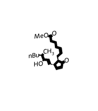 CCCC[C@@H](C)[C@H](O)C=C[C@H]1C=CC(=O)[C@@H]1C/C=C\CCCC(=O)OC